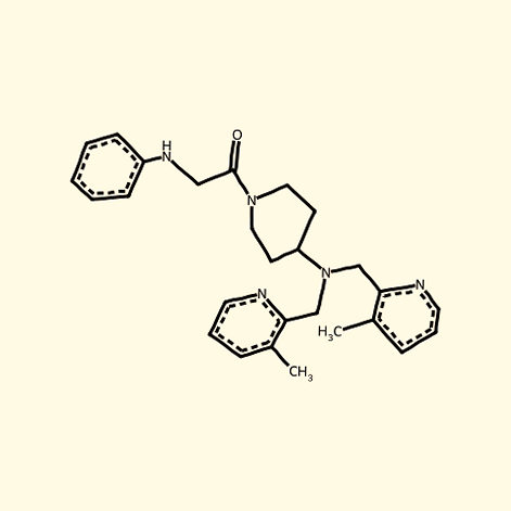 Cc1cccnc1CN(Cc1ncccc1C)C1CCN(C(=O)CNc2ccccc2)CC1